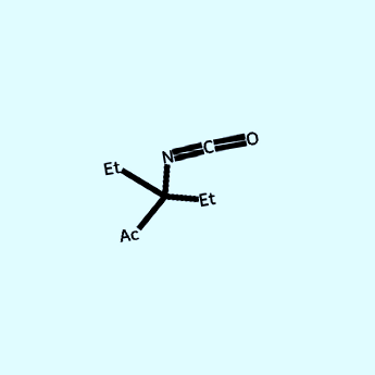 CCC(CC)(N=C=O)C(C)=O